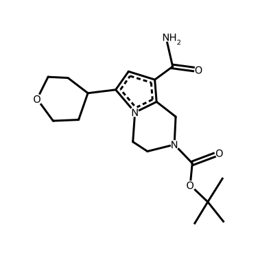 CC(C)(C)OC(=O)N1CCn2c(C3CCOCC3)cc(C(N)=O)c2C1